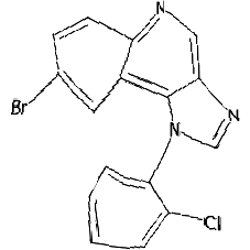 Clc1ccccc1-n1cnc2cnc3ccc(Br)cc3c21